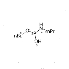 CCCCOP(O)NCCC